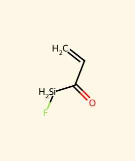 C=CC(=O)[SiH2]F